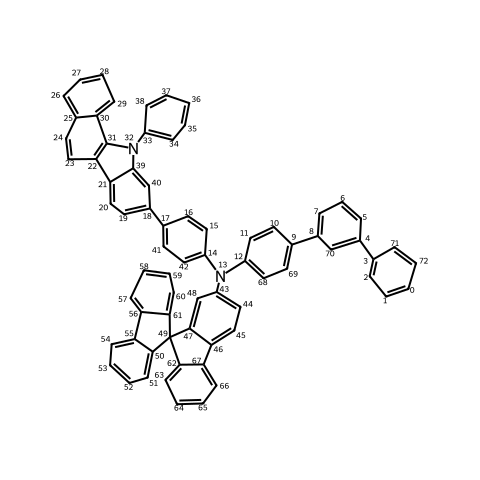 c1ccc(-c2cccc(-c3ccc(N(c4ccc(-c5ccc6c7ccc8ccccc8c7n(-c7ccccc7)c6c5)cc4)c4ccc5c(c4)C4(c6ccccc6-c6ccccc64)c4ccccc4-5)cc3)c2)cc1